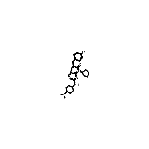 CCc1ccc(Cc2cc3cnc(NC4CCC(N(C)C)CC4)nc3n(C3CCCC3)c2=O)cc1